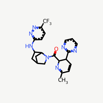 CC1=NC(C(=O)N2CC3CC(Nc4ccc(C(F)(F)F)nn4)C2C3)C(c2ncccn2)C=C1